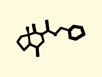 O=C(OCc1ccccc1)N1CC(=O)N2CCC[C@H]2C1=O